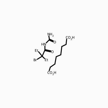 CCC(Br)(CC)C(=O)NC(N)=O.O=C(O)CCCCCCC(=O)O